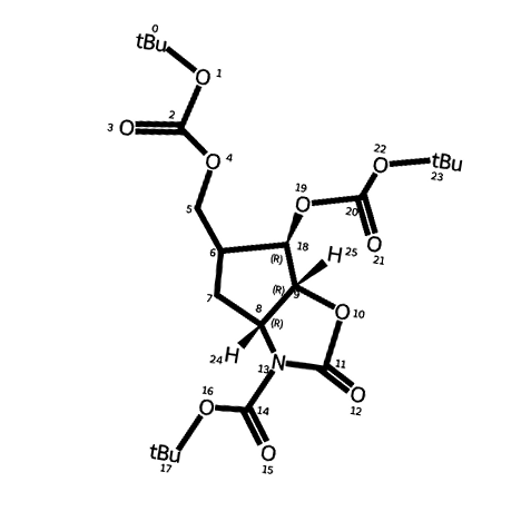 CC(C)(C)OC(=O)OCC1C[C@@H]2[C@@H](OC(=O)N2C(=O)OC(C)(C)C)[C@@H]1OC(=O)OC(C)(C)C